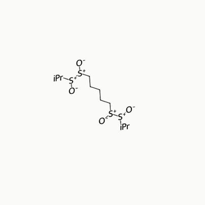 CC(C)[S+]([O-])[S+]([O-])CCCCC[S+]([O-])[S+]([O-])C(C)C